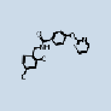 O=C(NCc1ccc(Cl)cc1Cl)c1ccc(Oc2ncccn2)cc1